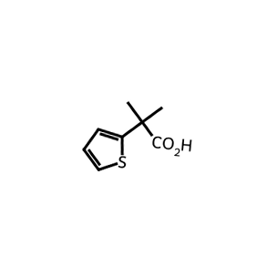 CC(C)(C(=O)O)c1cccs1